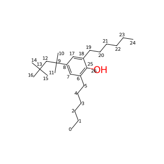 CCCCCCc1cc(C(C)(C)CC(C)(C)C)cc(CCCCCC)c1O